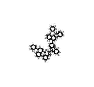 c1ccc(-c2ccc(-c3nc(-n4c5ccccc5c5cc(-c6cc7c8ccccc8n(-c8ccccc8)c7c7ccccc67)ccc54)nc4ccccc34)c3ccccc23)cc1